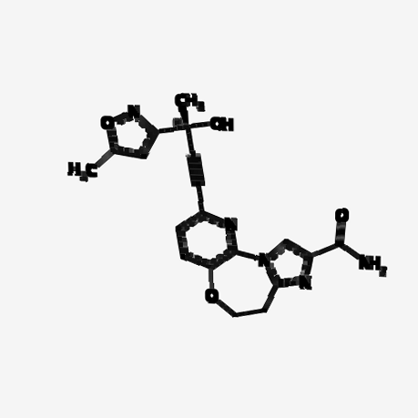 Cc1cc([C@](C)(O)C#Cc2ccc3c(n2)-n2cc(C(N)=O)nc2CCO3)no1